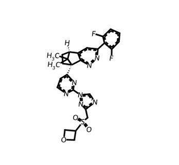 CC1(C)[C@H]2CC[C@]1(c1ccnc(-n3cnc(CS(=O)(=O)C4COC4)n3)n1)c1nnc(-c3c(F)cccc3F)cc12